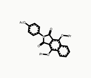 CC(=O)Oc1ccc(N2C(=O)c3c(c(OC(C)C)c4ccccc4c3OC(C)C)C2=O)cc1